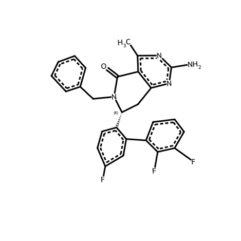 Cc1nc(N)nc2c1C(=O)N(Cc1ccccc1)[C@@H](c1ccc(F)cc1-c1cccc(F)c1F)C2